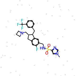 Cn1cnc(S(=O)(=O)NCc2cc3c(cc2F)CC(CN2CCC2)C3Cc2cccc(C(F)(F)F)c2)c1